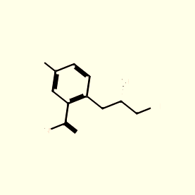 NC(=O)c1cc(O)ccc1C[C@H](N)CO